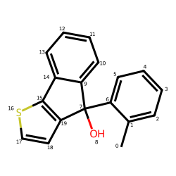 Cc1ccccc1C1(O)c2ccccc2-c2sccc21